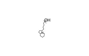 CC(C)(O)CCCCC1CCC2CCCC[C@]12C